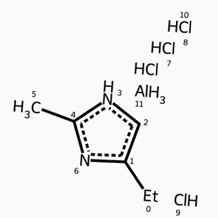 CCc1c[nH]c(C)n1.Cl.Cl.Cl.Cl.[AlH3]